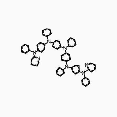 c1ccc(N(c2ccc(N(c3ccccc3)c3ccc(N(c4ccccc4)c4ccccn4)cc3)cc2)c2ccc(N(c3ccccc3)c3ccc(N(c4ccccc4)c4ccccn4)cc3)cc2)cc1